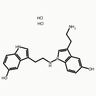 Cl.Cl.NCCc1cn(NCCc2c[nH]c3ccc(O)cc23)c2ccc(O)cc12